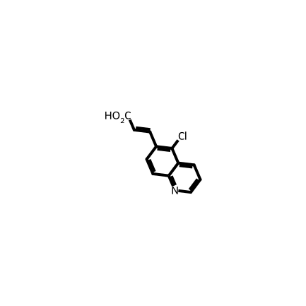 O=C(O)/C=C/c1ccc2ncccc2c1Cl